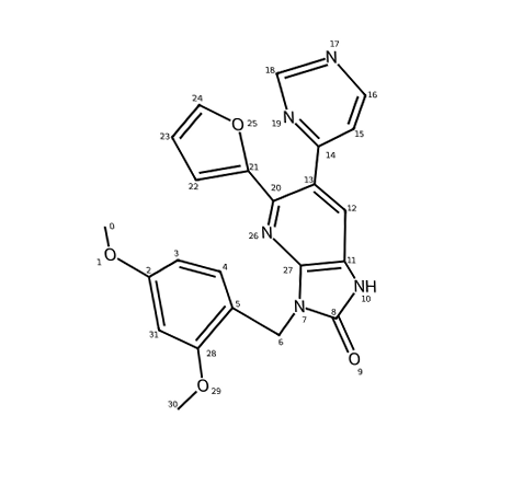 COc1ccc(Cn2c(=O)[nH]c3cc(-c4ccncn4)c(-c4ccco4)nc32)c(OC)c1